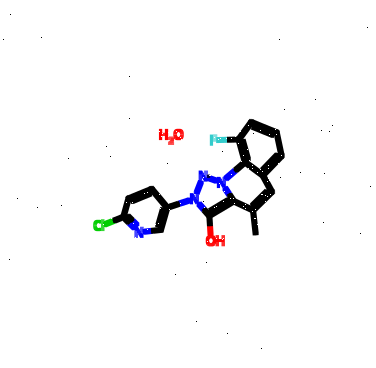 CC1=Cc2cccc(F)c2N2[N]N(c3ccc(Cl)nc3)C(O)=C12.O